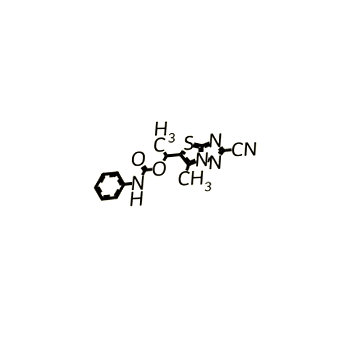 Cc1c(C(C)OC(=O)Nc2ccccc2)sc2nc(C#N)nn12